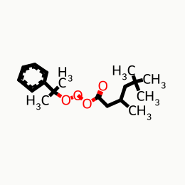 CC(CC(=O)OOOC(C)(C)c1ccccc1)CC(C)(C)C